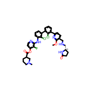 COc1nc(-c2cccc(-c3cccc(Nc4nccc(OC(=O)C5CCCN(C)C5)c4F)c3Cl)c2Cl)ccc1CNC[C@@H]1CCC(=O)N1